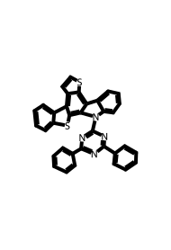 c1ccc(-c2nc(-c3ccccc3)nc(-n3c4ccccc4c4c5sccc5c5c6ccccc6sc5c43)n2)cc1